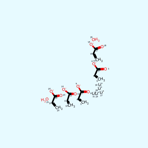 C=CC(=O)[O-].C=CC(=O)[O-].C=CC(=O)[O-].C=CC(=O)[O-].C=CC(=O)[O-].O.O.[Li+].[Li+].[Li+].[Li+].[Li+]